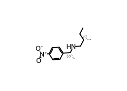 CC[C@H](C)CN[C@H](C)c1ccc([N+](=O)[O-])cc1